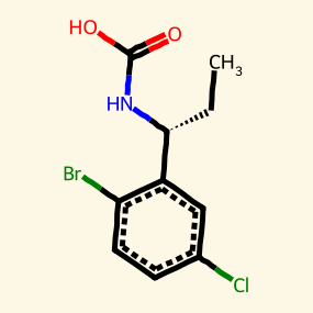 CC[C@@H](NC(=O)O)c1cc(Cl)ccc1Br